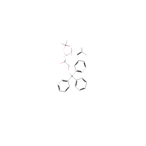 CC1(C)O[C@H](C(O)COC(c2ccccc2)(c2ccccc2)c2ccccc2)[C@@H](C=C(I)I)O1